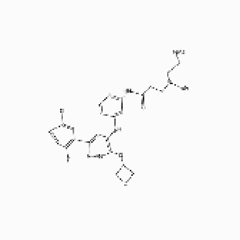 CCCN(CCNC)CCC(=O)Nc1cc(Nc2cc(-c3cc(Cl)ccc3F)nnc2OC2COC2)ccn1